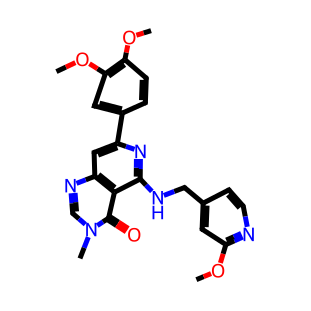 COc1cc(CNc2nc(-c3ccc(OC)c(OC)c3)cc3ncn(C)c(=O)c23)ccn1